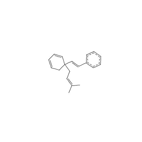 CC(C)=CCC1(C=Cc2ccccc2)C=CC=CC1